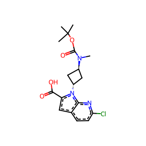 CN(C(=O)OC(C)(C)C)[C@H]1C[C@H](n2c(C(=O)O)cc3ccc(Cl)nc32)C1